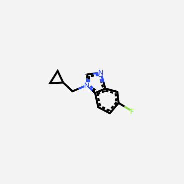 Fc1ccc2c(c1)n[c]n2CC1CC1